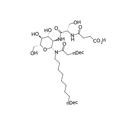 CCCCCCCCCCCCCCCCCCN(C(=O)CCCCCCCCCCC)[C@@H]1O[C@H](CO)[C@@H](O)[C@H](O)[C@H]1NC(=O)[C@H](CO)NC(=O)CCC(=O)O